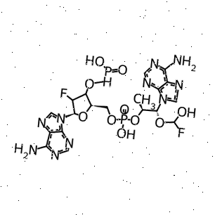 C[C@H](OP(=O)(O)OC[C@H]1O[C@@H](n2cnc3c(N)ncnc32)C(F)C1OC[PH](=O)O)[C@@H](OC(O)F)n1cnc2c(N)ncnc21